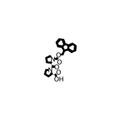 O=C(O)[C@@H]1CCCN1C(=O)[C@@H]1CCCN1C(=O)OCC1c2ccccc2-c2ccccc21